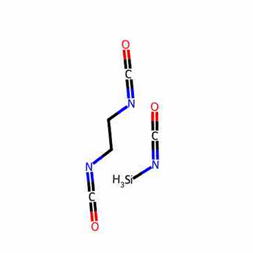 O=C=NCCN=C=O.O=C=N[SiH3]